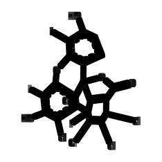 O=C1OC2(C3=C1C(Cl)C(Cl)=C(Cl)C3(Cl)I)c1ccc(O)c(I)c1Oc1c2cc(Cl)c(O)c1I